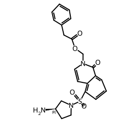 N[C@@H]1CCN(S(=O)(=O)c2cccc3c(=O)n(COC(=O)Cc4ccccc4)ccc23)C1